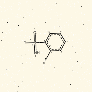 CS(=N)(=O)c1ccccc1F